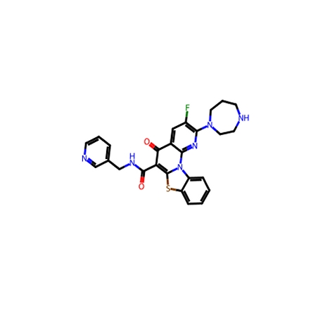 O=C(NCc1cccnc1)c1c(=O)c2cc(F)c(N3CCCNCC3)nc2n2c1sc1ccccc12